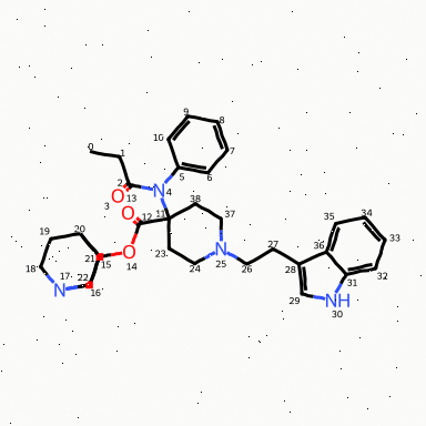 CCC(=O)N(c1ccccc1)C1(C(=O)OC2CN3CCC2CC3)CCN(CCc2c[nH]c3ccccc23)CC1